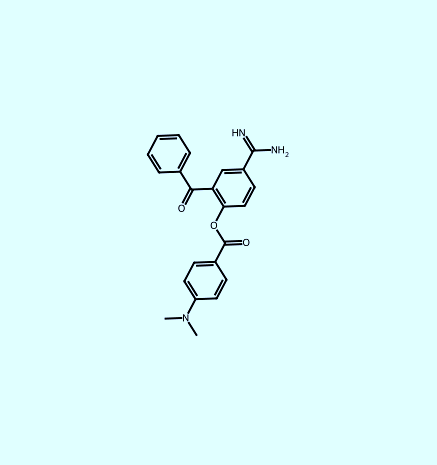 CN(C)c1ccc(C(=O)Oc2ccc(C(=N)N)cc2C(=O)c2ccccc2)cc1